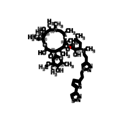 CC[C@H]1OC(O)[C@H](C)[C@@H](C2C[C@@](C)(OC)[C@@H](O)[C@H](C)O2)[C@H](C)[C@@H](O[C@@H]2O[C@H](C)C[C@H](N(C)CCc3cn(CCc4ccc(-c5csnn5)s4)nn3)[C@H]2O)[C@](C)(O)C[C@@H](C)CN(C)[C@H](C)[C@@H](O)[C@]1(C)O